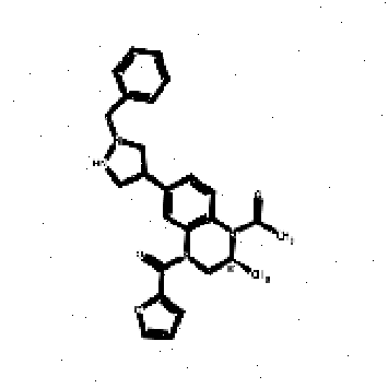 CC(=O)N1c2ccc(C3CNN(Cc4ccccc4)C3)cc2N(C(=O)c2ccco2)C[C@@H]1C